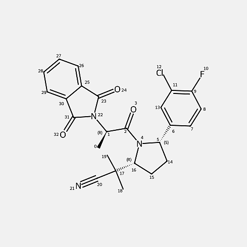 C[C@H](C(=O)N1[C@H](c2ccc(F)c(Cl)c2)CC[C@@H]1C(C)(C)C#N)N1C(=O)c2ccccc2C1=O